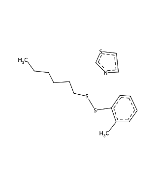 CCCCCCSSc1ccccc1C.c1cscn1